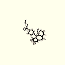 CCOC(=O)N1CCN([C@H]2C3=C(C=CCN3)CCc3cc(Cl)ccc32)CC1